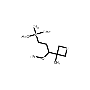 CCCOC(CC[Si](C)(OC)OC)C1(C)COC1